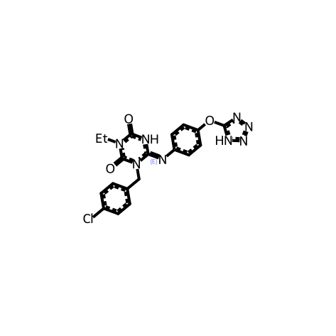 CCn1c(=O)[nH]/c(=N\c2ccc(Oc3nnn[nH]3)cc2)n(Cc2ccc(Cl)cc2)c1=O